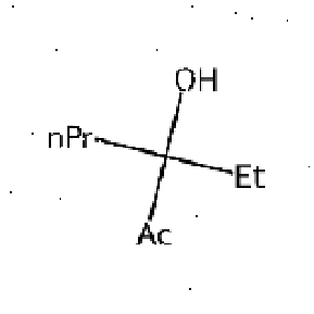 CCCC(O)(CC)C(C)=O